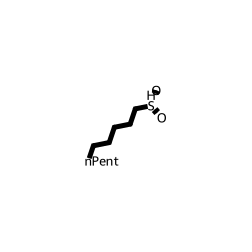 [CH2]CCCCCCCCC[SH](=O)=O